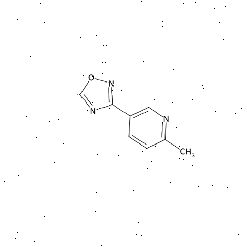 Cc1ccc(-c2n[c]on2)cn1